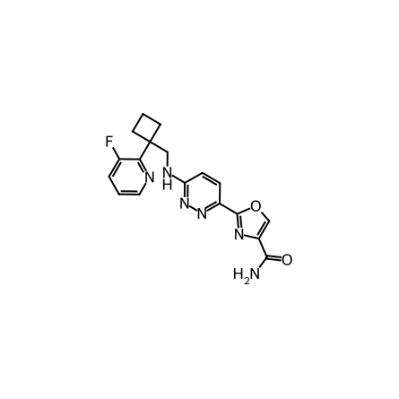 NC(=O)c1coc(-c2ccc(NCC3(c4ncccc4F)CCC3)nn2)n1